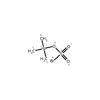 C[Si](C)(C)OS(=O)(=O)Br